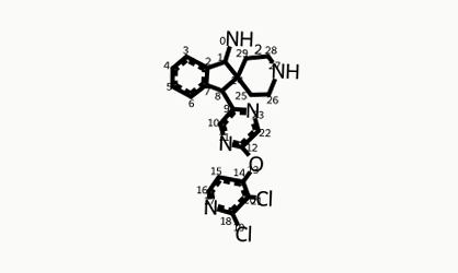 NC1c2ccccc2C(c2cnc(Oc3ccnc(Cl)c3Cl)cn2)C12CCNCC2